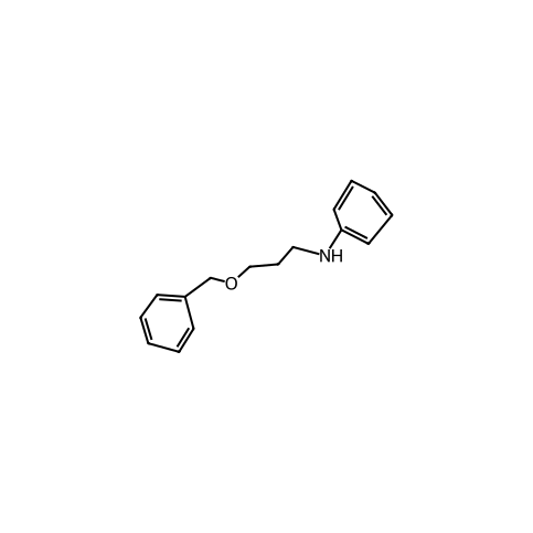 c1ccc(COCCCNc2ccccc2)cc1